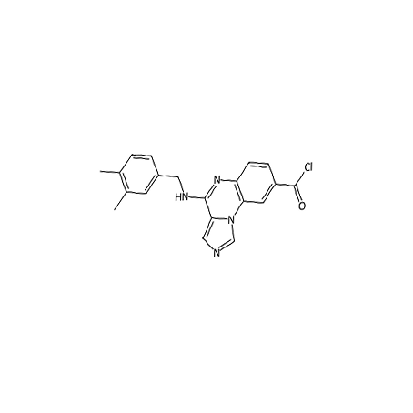 Cc1ccc(CNc2nc3ccc(C(=O)Cl)cc3n3cncc23)cc1C